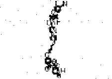 CC1(C)C(NC(=O)c2ccc(N3CCN(CCCCCOc4ccc5c(c4)S(=O)(=O)N([C@@H]4CCC(=O)NC4=O)C5=O)CC3)nc2)C(C)(C)C1Oc1ccc(C#N)c(Cl)c1